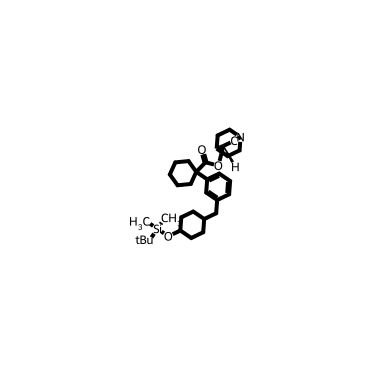 CC(C)(C)[Si](C)(C)OC1CCC(Cc2cccc(C3(C(=O)O[C@H]4CN5CCC4CC5)CCCCC3)c2)CC1